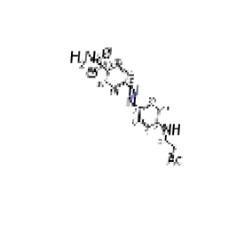 CC(=O)CCNc1ccc(/N=N/c2ccc(S(N)(=O)=O)cc2)cc1